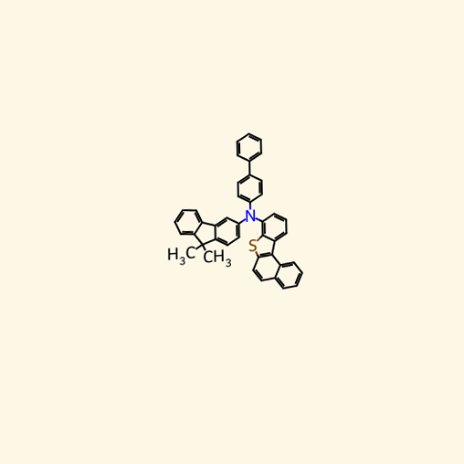 CC1(C)c2ccccc2-c2cc(N(c3ccc(-c4ccccc4)cc3)c3cccc4c3sc3ccc5ccccc5c34)ccc21